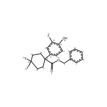 O=C(OCc1ccccc1)C1(c2ccc(O)c(F)c2)CCC(F)(F)CC1